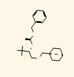 C[C@@H](OCC12CCC(CC1)OC2)[C@H](NC(=O)OCc1ccccc1)C(C)(C)O